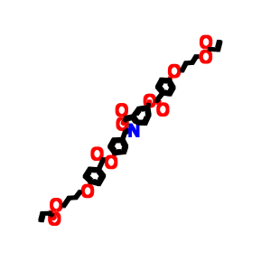 C=CC(=O)OCCCCOc1ccc(C(=O)Oc2ccc(-c3nc4ccc(OC(=O)c5ccc(OCCCCOC(=O)C=C)cc5)cc4c(=O)o3)cc2)cc1